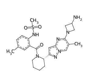 Cc1ccc(NS(C)(=O)=O)c(C(=O)N2CCCC[C@H]2c2cc3nc(N4CC(N)C4)c(C)cn3n2)c1